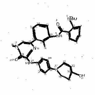 CCCCc1ccccc1C(=O)Nc1cccc(-c2cn(C)c(=O)c(Nc3ccc(N4CCC(O)CC4)cc3)n2)c1C